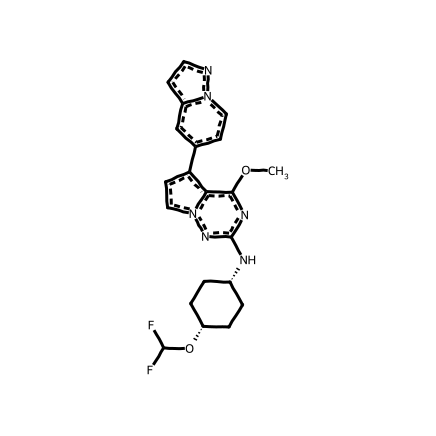 COc1nc(N[C@H]2CC[C@@H](OC(F)F)CC2)nn2ccc(-c3ccn4nccc4c3)c12